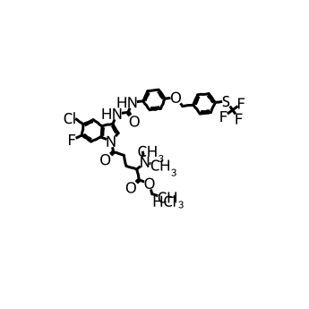 CCOC(=O)C(CCC(=O)n1cc(NC(=O)Nc2ccc(OCc3ccc(SC(F)(F)F)cc3)cc2)c2cc(Cl)c(F)cc21)N(C)C.Cl